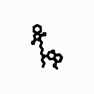 CCCN(CCCCN1C(=O)CC2(CCCCC2)C1=O)C1COc2cccc(OC)c2C1